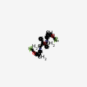 C=C(/C=C/c1ccc(CC(=C)c2ccc(OCCCC(F)(F)F)cc2)cc1)CCC(CCC1CCCCC1)(CCC1CCCCC1)COC(=C)/C=C/c1ccc(CC(=C)c2ccc(OCCCC(F)(F)F)cc2)cc1